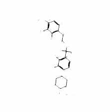 CCCCC[C@H]1CC[C@H](c2ccc(C(F)(F)OCCc3ccc(CCC)c(F)c3F)c(F)c2F)CC1